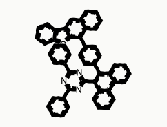 c1ccc(-c2nc(-c3ccccc3)nc(-c3c(-c4ccc(-c5c6ccccc6cc6c5oc5ccccc56)cc4)c4ccccc4c4ccccc34)n2)cc1